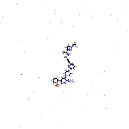 Nc1nnc(-c2ccccc2O)cc1N1CCN(c2ccnc(C#CCNC(=O)c3ccn(C4CC4)n3)n2)CC1